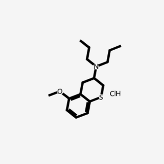 CCCN(CCC)C1CSc2cccc(OC)c2C1.Cl